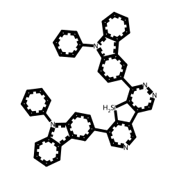 c1ccc(-n2c3ccccc3c3cc(-c4cncc5c4[SiH2]c4c-5cnnc4-c4ccc5c(c4)c4ccccc4n5-c4ccccc4)ccc32)cc1